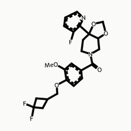 COc1cc(C(=O)N2CCC3(c4ncccc4F)OCOC3C2)ccc1OCC1CC(F)(F)C1